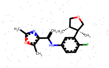 C=C(Nc1ccc(F)c([C@]2(C)COC[C@H]2C)c1)c1nc(C)oc1C